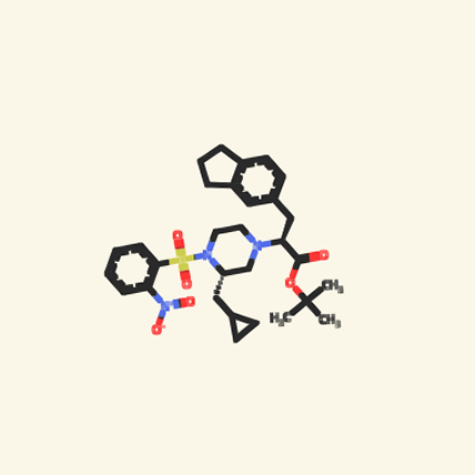 CC(C)(C)OC(=O)[C@H](Cc1ccc2c(c1)CCC2)N1CCN(S(=O)(=O)c2ccccc2[N+](=O)[O-])[C@@H](CC2CC2)C1